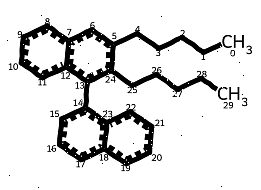 CCCCCc1cc2ccccc2c(-c2cccc3ccccc23)c1CCCCC